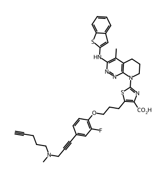 C#CCCCN(C)CC#Cc1ccc(OCCCc2sc(N3CCCc4c3nnc(Nc3cc5ccccc5s3)c4C)nc2C(=O)O)c(F)c1